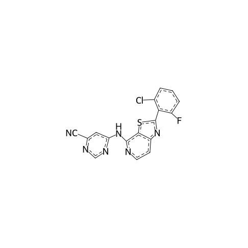 N#Cc1cc(Nc2nccc3nc(-c4c(F)cccc4Cl)sc23)ncn1